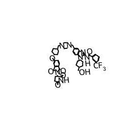 O=C1CCC(N2C(=O)c3ccc(OC4CCC(CN5CCN(Cc6ccc7c(c6)nc(NC(=O)c6cccc(C(F)(F)F)c6)n7C6CCC(CO)CC6)CC5)CC4)cc3C2=O)C(=O)N1